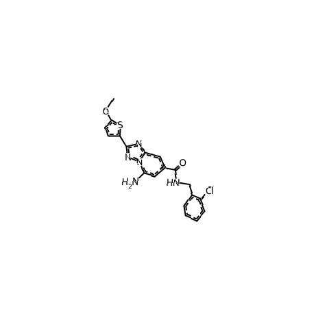 COc1ccc(-c2nc3cc(C(=O)NCc4ccccc4Cl)cc(N)n3n2)s1